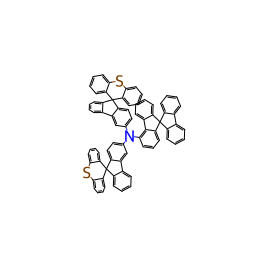 c1ccc2c(c1)Sc1ccccc1C21c2ccccc2-c2cc(N(c3ccc4c(c3)-c3ccccc3C43c4ccccc4Sc4ccccc43)c3cccc4c3-c3ccccc3C43c4ccccc4-c4ccccc43)ccc21